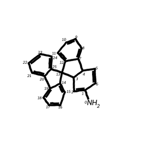 NC1=CC2C(C=C1)c1ccccc1C21c2ccccc2-c2ccccc21